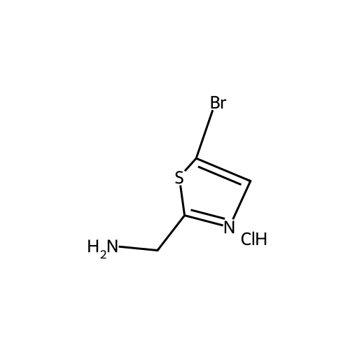 Cl.NCc1ncc(Br)s1